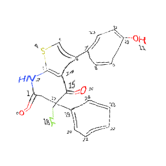 O=C1Nc2scc(-c3ccc(O)cc3)c2C(=O)C1(F)c1ccccc1